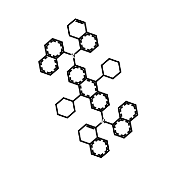 C1=Cc2cccc(N(c3ccc4c(C5CCCCC5)c5cc(N(C6=CCCc7ccccc76)c6cccc7ccccc67)ccc5c(C5CCCCC5)c4c3)c3cccc4ccccc34)c2CC1